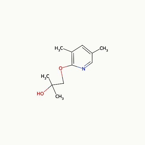 Cc1cnc(OCC(C)(C)O)c(C)c1